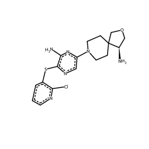 Nc1nc(N2CCC3(CC2)COC[C@H]3N)cnc1Sc1cccnc1Cl